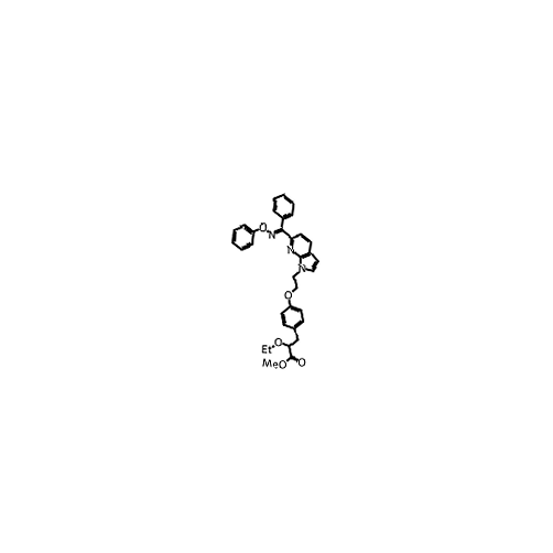 CCOC(Cc1ccc(OCCn2ccc3ccc(C(=NOc4ccccc4)c4ccccc4)nc32)cc1)C(=O)OC